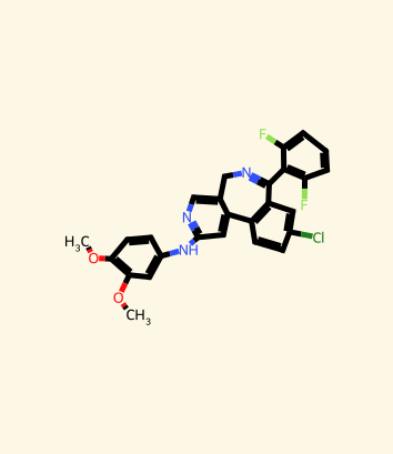 COc1ccc(Nc2cc3c(cn2)CN=C(c2c(F)cccc2F)c2cc(Cl)ccc2-3)cc1OC